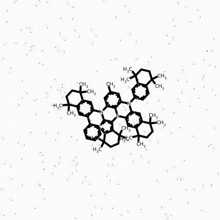 Cc1cc2c3c(c1)N(c1cc4c(cc1-c1ccccc1)C(C)(C)CCC4(C)C)c1sc4c(c1B3c1cc3c(cc1N2c1ccc2c(c1)C(C)(C)CCC2(C)C)C(C)(C)CCC3(C)C)C(C)(C)CCC4(C)C